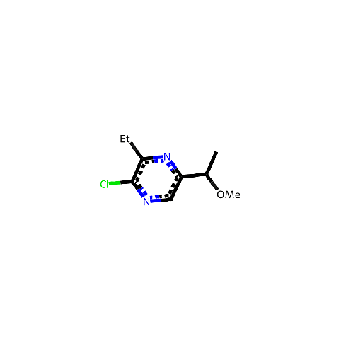 CCc1nc(C(C)OC)cnc1Cl